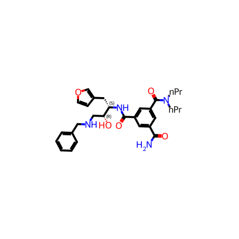 CCCN(CCC)C(=O)c1cc(C(N)=O)cc(C(=O)N[C@@H](Cc2ccoc2)[C@H](O)CNCc2ccccc2)c1